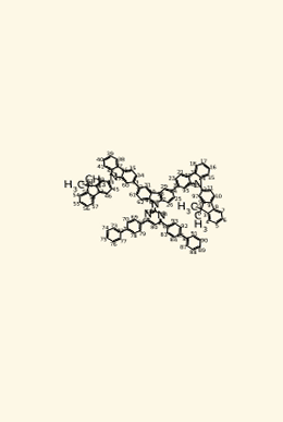 CC1(C)c2ccccc2-c2ccc(-n3c4ccccc4c4ccc(-c5ccc6c(c5)c5cc(-c7ccc8c9ccccc9n(-c9ccc%10c(c9)C(C)(C)c9ccccc9-%10)c8c7)ccc5n6-c5nc(-c6ccc(-c7ccccc7)cc6)cc(-c6ccc(-c7ccccc7)cc6)n5)cc43)cc21